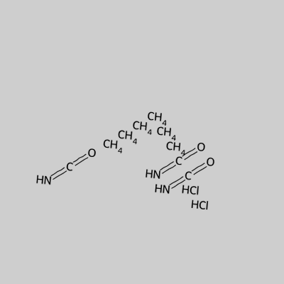 C.C.C.C.C.C.Cl.Cl.N=C=O.N=C=O.N=C=O